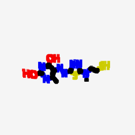 Cc1nc(O)nc(O)c1/N=N/c1nnc(N(C)CCS)s1